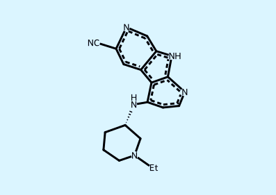 CCN1CCC[C@H](Nc2ccnc3[nH]c4cnc(C#N)cc4c23)C1